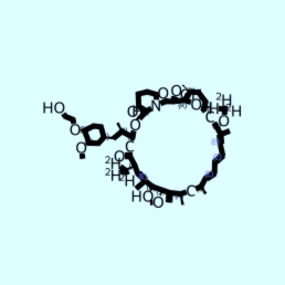 [2H]C([2H])([2H])O[C@H]1C[C@@H]2CC[C@@H](C)[C@@](O)(O2)C(=O)C(=O)N2CCCC[C@H]2C(=O)O[C@H]([C@H](C)C[C@@H]2CC[C@@H](OCCO)[C@H](OC)C2)CC(=O)[C@H](C([2H])([2H])[2H])/C=C(\C)[C@@H](O)[C@@H](OC)C(=C)[C@H](C)C[C@H](C)/C=C/C=C/C=C/1C